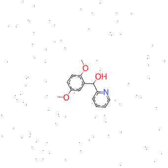 COc1ccc(OC)c(C(O)c2ccccn2)c1